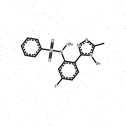 CCCCN(c1cc(F)ccc1-c1nnc(C)n1C(C)C)S(=O)(=O)c1ccccc1